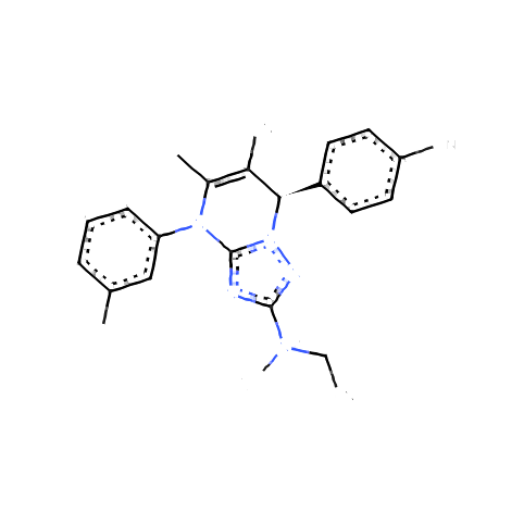 CC1=C(C#N)[C@@H](c2ccc(C#N)cc2)n2nc(N(CC#N)C(=O)O)nc2N1c1cccc(C(F)(F)F)c1